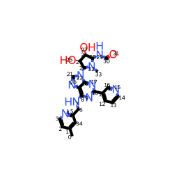 Cc1ccnc(CNc2nc(-c3cccnc3)nc3c2ncn3[C@H]2[C@H](O)[C@H](O)[C@@H](NC=O)N2C)c1